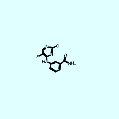 NC(=O)c1cccc(Nc2nc(Cl)ncc2F)c1